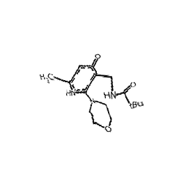 Cc1cc(=O)c(CNC(=O)C(C)(C)C)c(N2CCOCC2)[nH]1